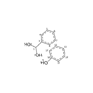 OC(O)c1ccccc1.Oc1ccccc1